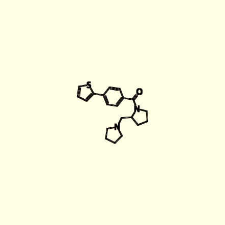 O=C(c1ccc(-c2cccs2)cc1)N1CCCC1CN1CCCC1